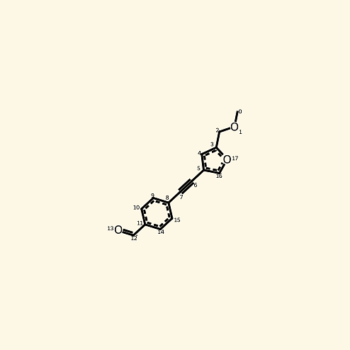 COCc1cc(C#Cc2ccc([C]=O)cc2)co1